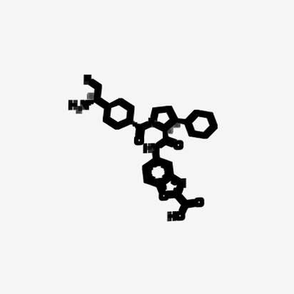 N[C@H](CF)[C@H]1CC[C@H](C(=O)N2CC[C@@H](C3CCCCC3)[C@H]2C(=O)Nc2ccc3oc(C(=O)O)nc3c2)CC1